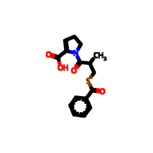 CC(CSC(=O)c1ccccc1)C(=O)N1CCC=C1C(=O)O